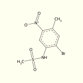 Cc1cc(Br)c(NS(C)(=O)=O)cc1[N+](=O)[O-]